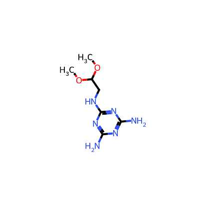 COC(CNc1nc(N)nc(N)n1)OC